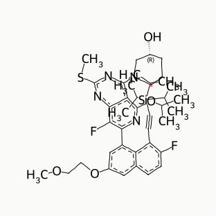 COCCOc1cc(-c2nc(OC(C)C)c3c(N4CCC[C@@H](O)C4)nc(SC)nc3c2F)c2c(C#C[Si](C(C)C)(C(C)C)C(C)C)c(F)ccc2c1